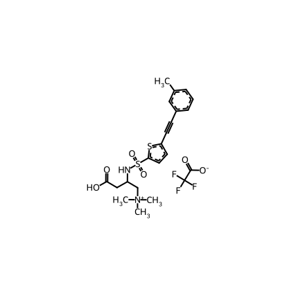 Cc1cccc(C#Cc2ccc(S(=O)(=O)NC(CC(=O)O)C[N+](C)(C)C)s2)c1.O=C([O-])C(F)(F)F